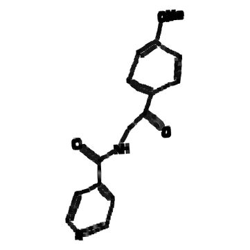 COc1ccc(C(=O)CNC(=O)c2ccncc2)cc1